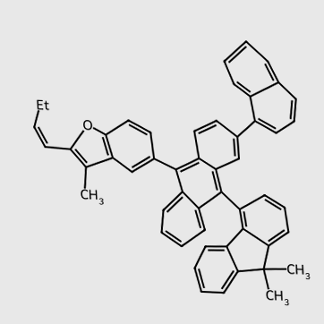 CC/C=C\c1oc2ccc(-c3c4ccccc4c(-c4cccc5c4-c4ccccc4C5(C)C)c4cc(-c5cccc6ccccc56)ccc34)cc2c1C